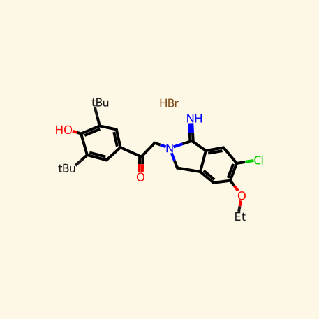 Br.CCOc1cc2c(cc1Cl)C(=N)N(CC(=O)c1cc(C(C)(C)C)c(O)c(C(C)(C)C)c1)C2